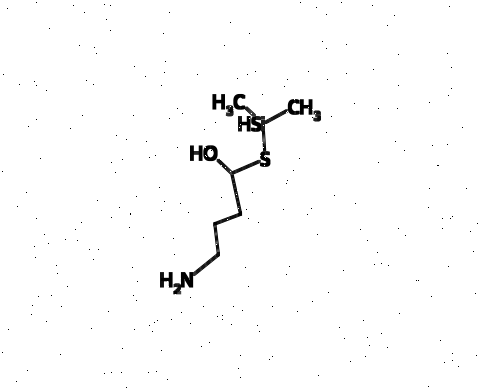 C[SiH](C)SC(O)CCCN